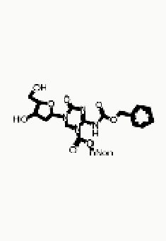 CCCCCCCCCOC(=O)N1CN(C2CC(O)C(CO)O2)C(=O)N=C1NC(=O)OCc1ccccc1